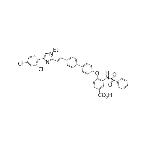 CCn1cc(-c2ccc(Cl)cc2Cl)nc1/C=C/c1ccc(-c2ccc(Oc3ccc(C(=O)O)cc3NS(=O)(=O)c3ccccc3)cc2)cc1